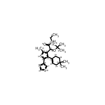 CCOC(=O)C(OC(C)(C)C)c1c(C)sc(-c2cscn2)c1C1=CCC(C)(C)CC1